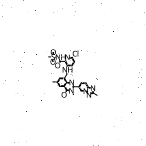 Cc1cc([C@@H](C)Nc2ccc(Cl)nc2C(=O)NS(C)(=O)=O)c2nc(-c3ccc4nc(C)nn4c3)n(C)c(=O)c2c1